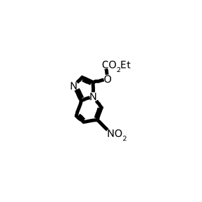 CCOC(=O)Oc1cnc2ccc([N+](=O)[O-])cn12